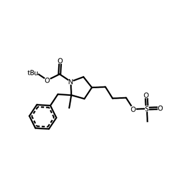 CC(C)(C)OC(=O)N1CC(CCCOS(C)(=O)=O)CC1(C)Cc1ccccc1